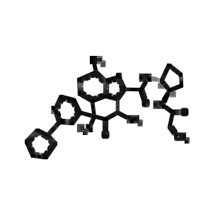 C=CC(=O)N[C@@H]1CCC[C@H]1NC(=O)c1sc2c(N)ccc3c2c1C(N)C(=O)C3(N)c1ccnc(-c2ccccc2)c1